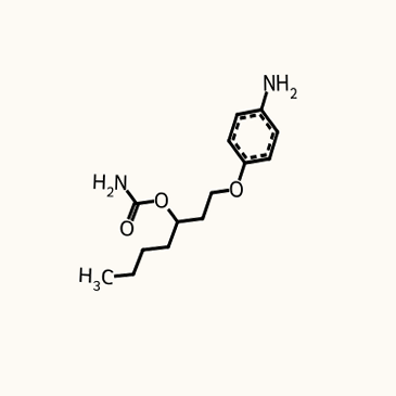 CCCCC(CCOc1ccc(N)cc1)OC(N)=O